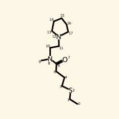 CCSCCCC(=O)N(C)CCN1CCCCC1